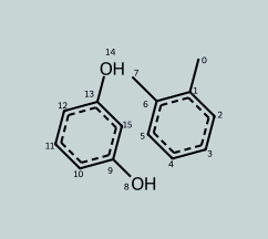 Cc1ccccc1C.Oc1cccc(O)c1